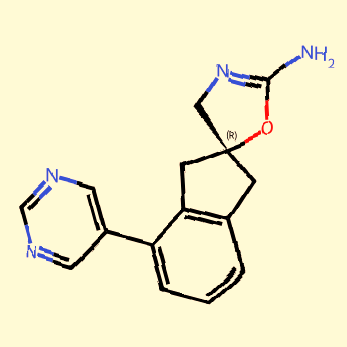 NC1=NC[C@]2(Cc3cccc(-c4cncnc4)c3C2)O1